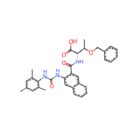 Cc1cc(C)c(NC(=O)Nc2cc3ccccc3cc2C(=O)N[C@H](C(=O)O)C(C)OCc2ccccc2)c(C)c1